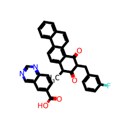 CC1C(=O)C(Cc2cccc(F)c2)C(=O)c2c1ccc1c2ccc2ccccc21.O=C(O)c1ccc2ncncc2c1